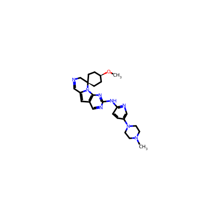 CO[C@H]1CC[C@]2(CC1)CN=Cc1cc3cnc(Nc4ccc(N5CCN(C)CC5)cn4)nc3n12